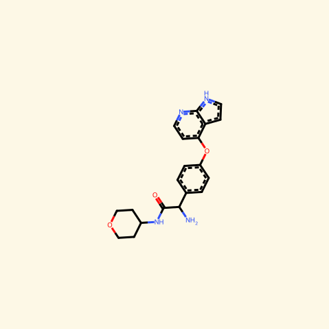 NC(C(=O)NC1CCOCC1)c1ccc(Oc2ccnc3[nH]ccc23)cc1